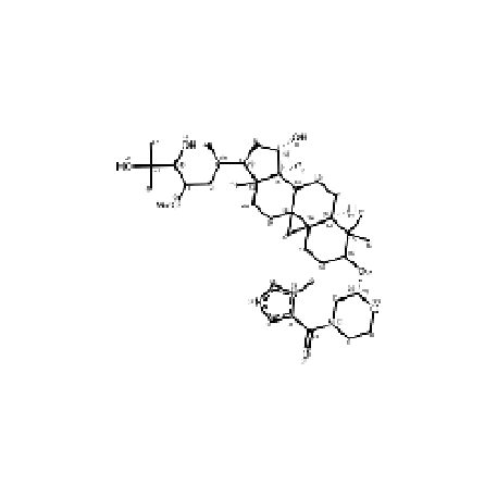 COC(C[C@@H](C)[C@H]1C[C@H](O)[C@@]2(C)C3CC[C@H]4C(C)(C)C(O[C@H]5CN(C(=O)c6cncn6C)CCO5)CCC45CC35CCC12C)C(O)C(C)(C)O